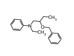 CCC(CN(CC)c1ccccc1)OCc1ccccc1